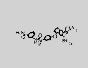 COc1cc2nccc(Oc3ccc(NC(=O)Nc4cccc(C(N)=O)c4)cc3)c2cc1OC